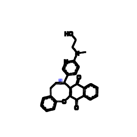 CN(CCO)c1ccc(/C2=C/Cc3ccccc3OC3=C2C(=O)c2ccccc2C3=O)cn1